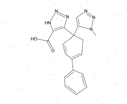 Cn1nncc1C1(c2nn[nH]c2C(=O)O)C=CC(c2ccccc2)=CC1